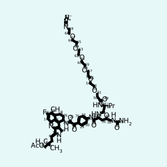 CC(=O)OCC(C)(C)C/C=C1\NCc2c1nc1cc(F)c(C)c3c1c2[C@@H](NC(=O)C(=O)c1ccc(NC(=O)C(CCCNC(N)=O)NC(=O)[C@@H](NC(=O)CCOCCOCCOCCOCCOCCOCCN=[N+]=[N-])C(C)C)cc1)CC3